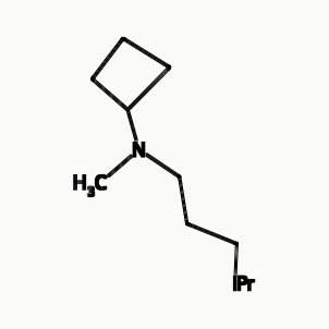 CC(C)CCCN(C)C1CCC1